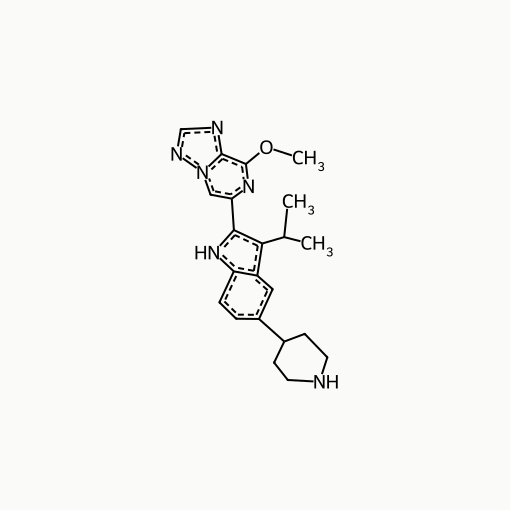 COc1nc(-c2[nH]c3ccc(C4CCNCC4)cc3c2C(C)C)cn2ncnc12